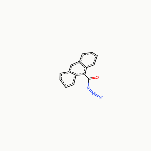 [N-]=[N+]=NC(=O)c1c2ccccc2cc2ccccc12